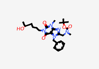 CC(O)CCCCn1c(=O)c2c(nc(CN(C)C(=O)OC(C)(C)C)n2Cc2ccccc2)n(C)c1=O